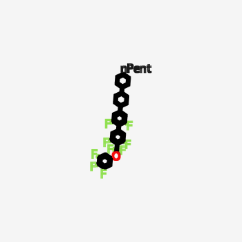 CCCCCC1CCC(C2CCC(c3cc(F)c(-c4cc(F)c(C(F)(F)Oc5cc(F)c(F)c(F)c5)c(F)c4)c(F)c3)CC2)CC1